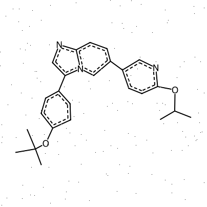 CC(C)Oc1ccc(-c2ccc3ncc(-c4ccc(OC(C)(C)C)cc4)n3c2)cn1